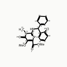 COC(=O)c1nc(NC(c2ccccc2)c2ccccc2Cl)n(C)c(=O)c1OC